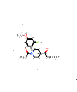 CCOC(=O)CC(=O)[C@@H]1CCN(C(=O)OC)[C@H](c2ccc(OC(F)(F)F)cc2F)C1